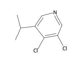 CC(C)c1cncc(Cl)c1Cl